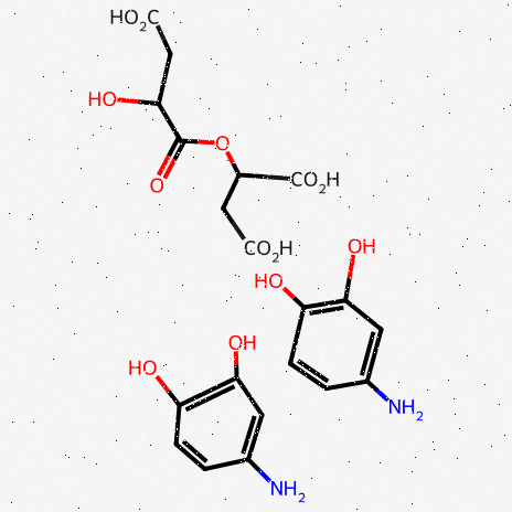 Nc1ccc(O)c(O)c1.Nc1ccc(O)c(O)c1.O=C(O)CC(O)C(=O)OC(CC(=O)O)C(=O)O